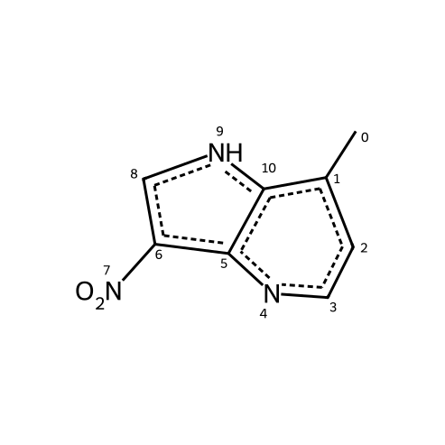 Cc1ccnc2c([N+](=O)[O-])c[nH]c12